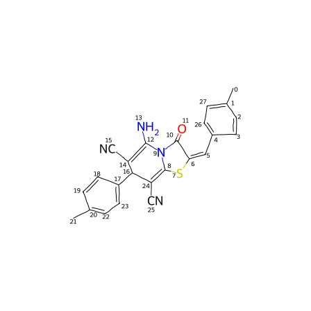 Cc1ccc(/C=c2/sc3n(c2=O)C(N)=C(C#N)C(c2ccc(C)cc2)C=3C#N)cc1